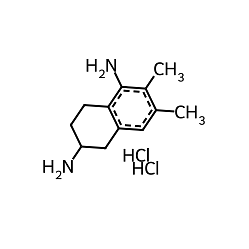 Cc1cc2c(c(N)c1C)CCC(N)C2.Cl.Cl